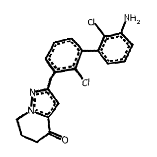 Nc1cccc(-c2cccc(-c3cc4n(n3)CCCC4=O)c2Cl)c1Cl